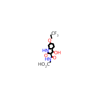 O=C(O)CNC(=O)c1c(O)c2ccc(OCCC(F)(F)F)cc2[nH]c1=O